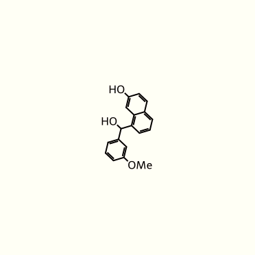 COc1cccc(C(O)c2cccc3ccc(O)cc23)c1